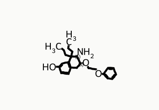 CCCC1(CCC)c2cc(O)ccc2C[C@H](OCCOc2ccccc2)[C@H]1N